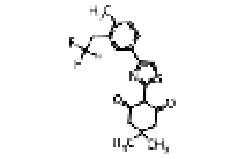 Cc1ccc(-c2csc(C3C(=O)CC(C)(C)CC3=O)n2)cc1CC(F)(F)F